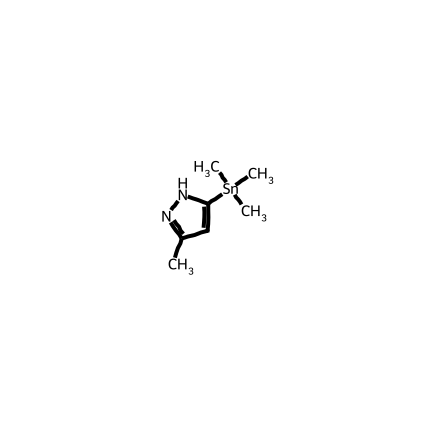 Cc1c[c]([Sn]([CH3])([CH3])[CH3])[nH]n1